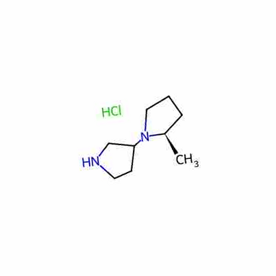 C[C@@H]1CCCN1C1CCNC1.Cl